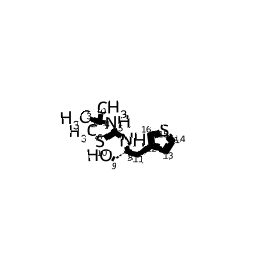 CC(C)(C)NC(=S)N[C@@H](CO)Cc1ccsc1